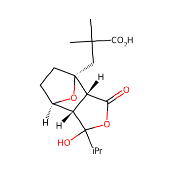 CC(C)C1(O)OC(=O)[C@@H]2[C@H]1[C@H]1CC[C@]2(CC(C)(C)C(=O)O)O1